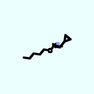 CCCCCO/N=[C]/C1CC1